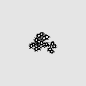 CC1(C)c2cc(N(c3ccc4ccccc4c3)c3cccc4ccccc34)ccc2-c2cc3c(N(c4ccc5ccccc5c4)c4cccc5ccccc45)c4ccccc4c(N(c4ccc5ccccc5c4)c4cccc5ccccc45)c3cc21